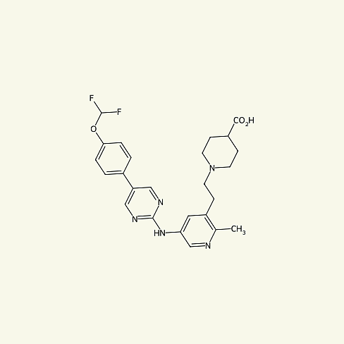 Cc1ncc(Nc2ncc(-c3ccc(OC(F)F)cc3)cn2)cc1CCN1CCC(C(=O)O)CC1